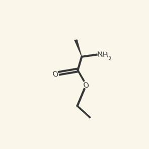 [CH2][C@@H](N)C(=O)OCC